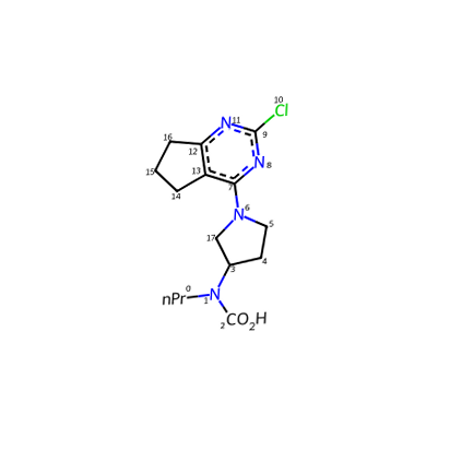 CCCN(C(=O)O)C1CCN(c2nc(Cl)nc3c2CCC3)C1